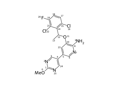 COc1ncc(-c2cnc(N)c(OC(C)c3c(Cl)ccc(F)c3Cl)c2)cn1